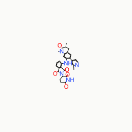 Cc1cc(-c2cc3c(cc2Nc2cccc4c2C(=O)N([C@H]2CCC(=O)NC2=O)C4=O)N(C)C(=O)[C@@H](C)C3)ccn1